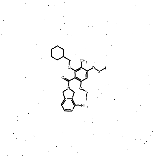 Cc1c(OSI)cc(OSI)c(C(=O)N2Cc3cccc(N)c3C2)c1OCC1CCCCC1